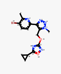 Cc1nc(-c2nnn(C)c2COc2noc(C3CC3)n2)ccc1Br